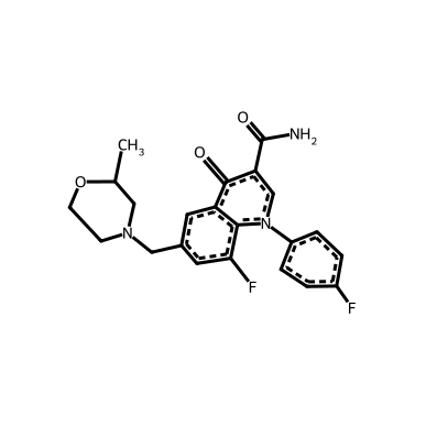 CC1CN(Cc2cc(F)c3c(c2)c(=O)c(C(N)=O)cn3-c2ccc(F)cc2)CCO1